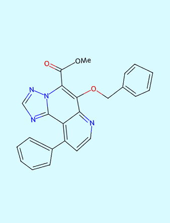 COC(=O)c1c(OCc2ccccc2)c2nccc(-c3ccccc3)c2c2ncnn12